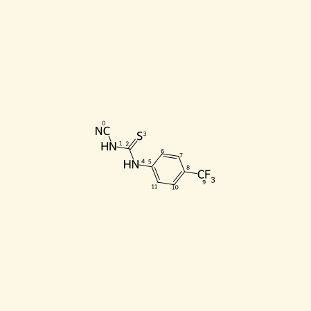 N#CNC(=S)Nc1ccc(C(F)(F)F)cc1